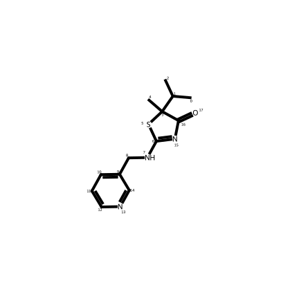 CC(C)C1(C)SC(NCc2cccnc2)=NC1=O